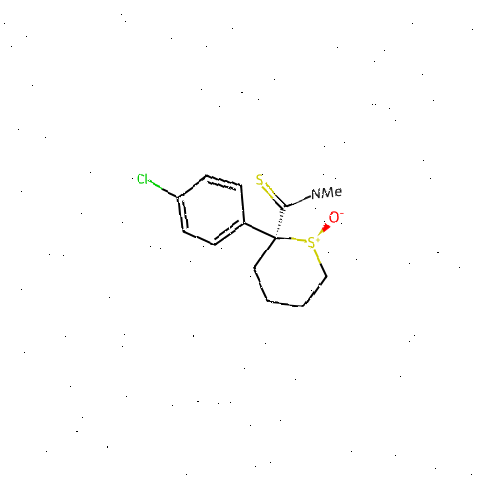 CNC(=S)[C@@]1(c2ccc(Cl)cc2)CCCC[S@+]1[O-]